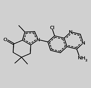 Cc1cn(-c2ccc3c(N)ncnc3c2Cl)c2c1C(=O)CC(C)(C)C2